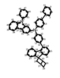 c1ccc(-c2ccc(N(c3ccc(-c4cccc5c4-c4ccccc4C54CC5CCC54)cc3)c3ccc4c5ccccc5n(-c5ccccc5)c4c3)cc2)cc1